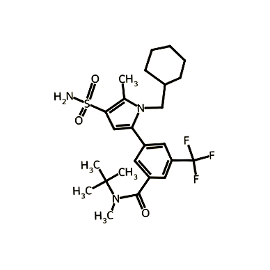 Cc1c(S(N)(=O)=O)cc(-c2cc(C(=O)N(C)C(C)(C)C)cc(C(F)(F)F)c2)n1CC1CCCCC1